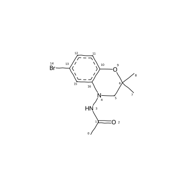 CC(=O)NN1CC(C)(C)Oc2ccc(Br)cc21